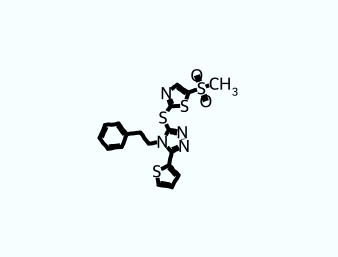 CS(=O)(=O)c1cnc(Sc2nnc(-c3cccs3)n2CCc2ccccc2)s1